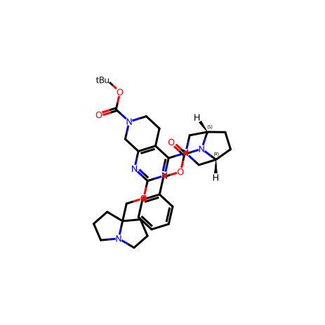 CC(C)(C)OC(=O)N1CCc2c(nc(OCC34CCCN3CCC4)nc2N2C[C@H]3CC[C@@H](C2)N3C(=O)OCc2ccccc2)C1